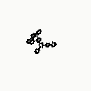 c1ccc(-c2nc(-c3ccc(-c4ccccn4)cc3)cc(-c3ccc(-n4c5ccccc5c5ccc6c(c54)-c4cccc5cccc-6c45)cc3)n2)cc1